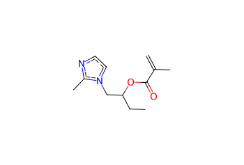 C=C(C)C(=O)OC(CC)Cn1ccnc1C